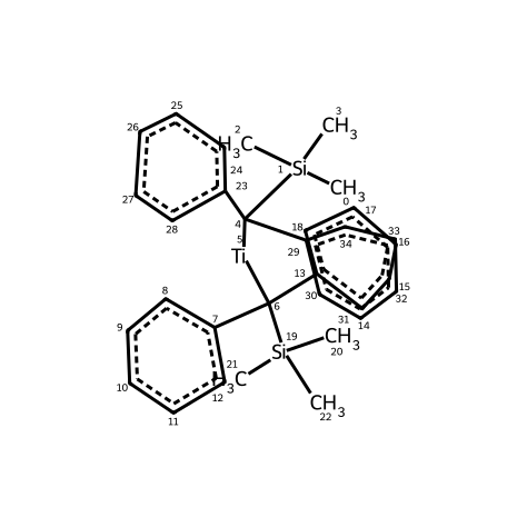 C[Si](C)(C)[C]([Ti][C](c1ccccc1)(c1ccccc1)[Si](C)(C)C)(c1ccccc1)c1ccccc1